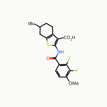 COc1ccc(C(=O)Nc2sc3c(c2C(=O)O)CCC(C(C)(C)C)C3)c(F)c1F